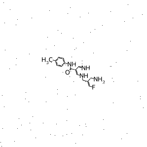 Cc1ccc(NC(=O)/C(C=N)=C/NC/C(=C/F)CN)cc1